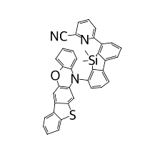 C[Si]1(C)c2c(-c3cccc(C#N)n3)cccc2-c2cccc(N3c4ccccc4Oc4cc5c(cc43)sc3ccccc35)c21